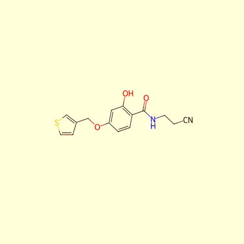 N#CCCNC(=O)c1ccc(OCc2ccsc2)cc1O